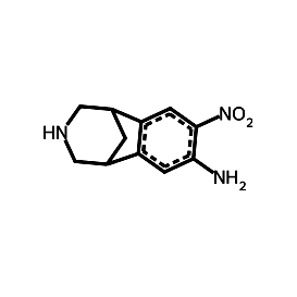 Nc1cc2c(cc1[N+](=O)[O-])C1CNCC2C1